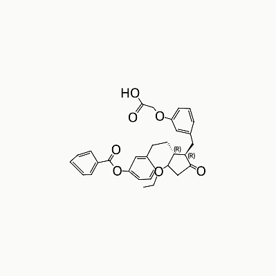 CCOC1CC(=O)[C@H](Cc2cccc(OCC(=O)O)c2)[C@H]1CCc1cccc(OC(=O)c2ccccc2)c1